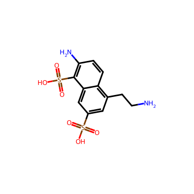 NCCc1cc(S(=O)(=O)O)cc2c(S(=O)(=O)O)c(N)ccc12